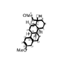 COCC1(O)CCC[C@H]2[C@@H]3CCC4=C(CC=C(OC)C4)[C@H]3CC[C@@]21C